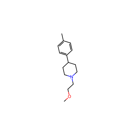 COCCN1CCC(c2ccc(C)cc2)CC1